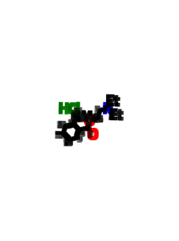 CCN(CC)CCOC(=O)c1ccccc1NC.Cl